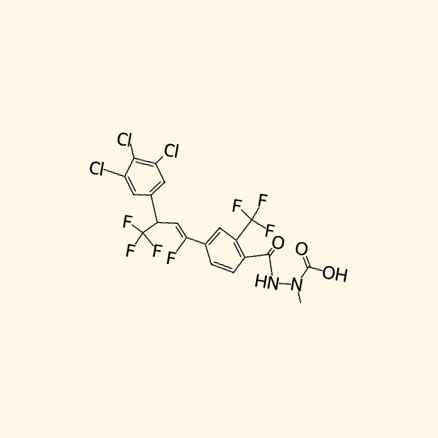 CN(NC(=O)c1ccc(C(F)=CC(c2cc(Cl)c(Cl)c(Cl)c2)C(F)(F)F)cc1C(F)(F)F)C(=O)O